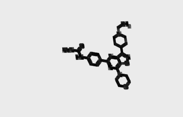 BCN1CCC(c2noc3c(N4CCOCC4)nc(-c4ccc(NC(=O)NC)cc4)nc23)CC1